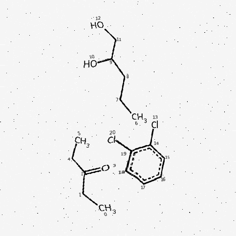 CCC(=O)CC.CCCC(O)CO.Clc1ccccc1Cl